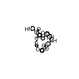 O=C1c2cccc(OCCN3CC(Oc4cccc(S(=O)(=O)N5CCC(Nc6ncc7ccc(=O)n(C8CCCC8)c7n6)CC5)c4)C3)c2CN1C1CCCNC1